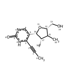 CC#Cc1[nH]c(=O)ncc1[C@@H]1O[C@H](CO)C(C)[C@@H]1F